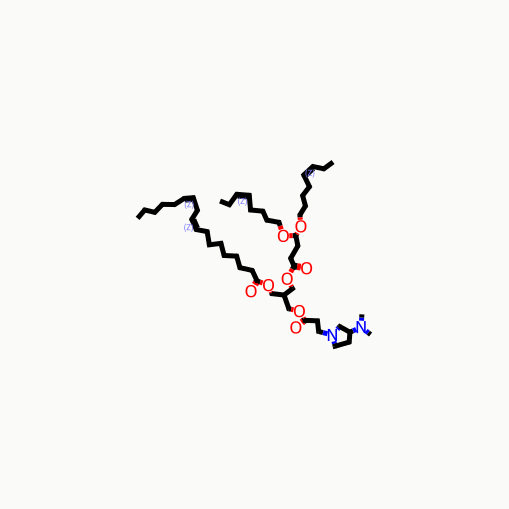 CC/C=C\CCCCOC(CCC(=O)OCC(COC(=O)CCCCCCC/C=C\C/C=C\CCCCC)COC(=O)CCN1CCC(N(C)C)C1)OCCCC/C=C\CC